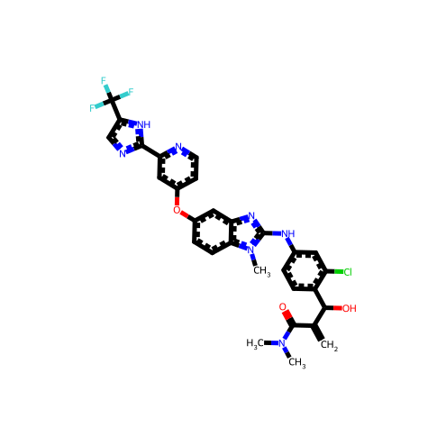 C=C(C(=O)N(C)C)C(O)c1ccc(Nc2nc3cc(Oc4ccnc(-c5ncc(C(F)(F)F)[nH]5)c4)ccc3n2C)cc1Cl